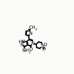 Cn1ccc(-c2cn(C3CCS(=O)(=O)CC3)c(=O)c3c(N)n[nH]c23)n1